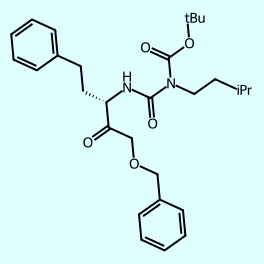 CC(C)CCN(C(=O)N[C@@H](CCc1ccccc1)C(=O)COCc1ccccc1)C(=O)OC(C)(C)C